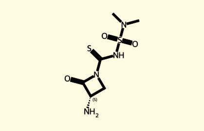 CN(C)S(=O)(=O)NC(=S)N1C[C@H](N)C1=O